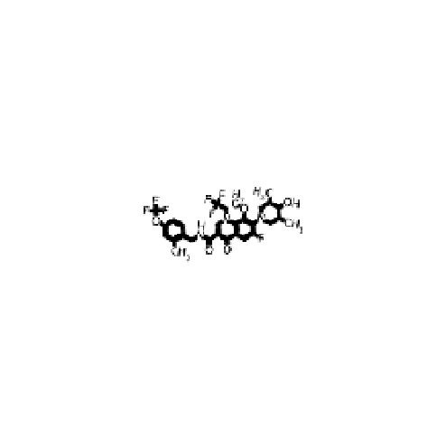 COc1c(N2CC(C)C(O)C(C)C2)c(F)cc2c(=O)c(C(=O)NCc3ccc(OC(F)(F)F)cc3C)cn(CC(F)(F)F)c12